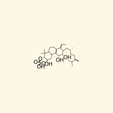 C=C(CC[C@@H](C)[C@H]1CC=C2C3=C([C@@H](O)C(O)[C@@]21C)[C@@]1(C)C[C@@H](O)[C@H](OS(=O)(=O)O)C(C)(C)C1CC3)C(C)C